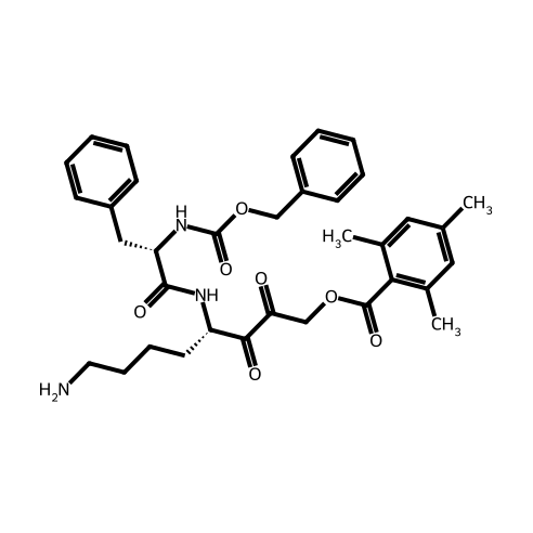 Cc1cc(C)c(C(=O)OCC(=O)C(=O)[C@H](CCCCN)NC(=O)[C@H](Cc2ccccc2)NC(=O)OCc2ccccc2)c(C)c1